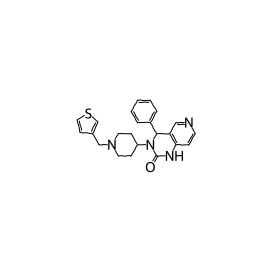 O=C1Nc2ccncc2C(c2ccccc2)N1C1CCN(Cc2ccsc2)CC1